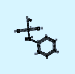 CC(C)S(=O)(=O)Nc1ccncn1